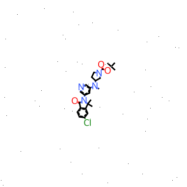 CN(c1cncc(N2C(=O)c3ccc(Cl)cc3C2(C)C)c1)C1CCN(C(=O)OC(C)(C)C)C1